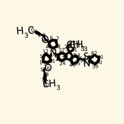 CC#CCOc1cccc(N(c2cccc(OCC#CC)c2)c2ccc3c(c2)C(CC)(CC)c2cc(-c4nc5ccccc5s4)ccc2-3)c1